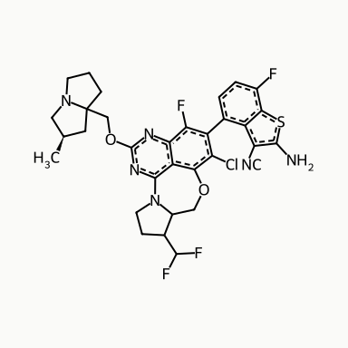 C[C@H]1CN2CCCC2(COc2nc3c4c(c(Cl)c(-c5ccc(F)c6sc(N)c(C#N)c56)c(F)c4n2)OCC2C(C(F)F)CCN32)C1